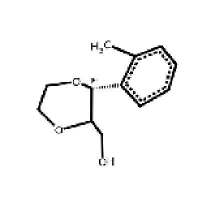 Cc1ccccc1[C@H]1OCCOC1CO